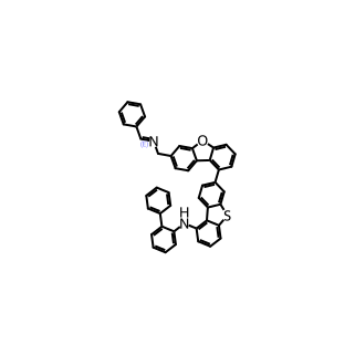 C(=N\Cc1ccc2c(c1)oc1cccc(-c3ccc4c(c3)sc3cccc(Nc5ccccc5-c5ccccc5)c34)c12)/c1ccccc1